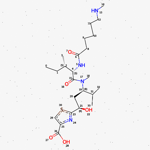 CC[C@H](C)[C@H](NC(=O)CCCCCNC)C(=O)N(C)[C@H](C[C@@H](O)c1nc(C(=O)O)cs1)C(C)C